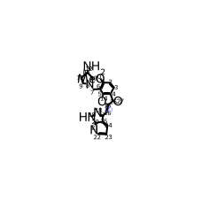 COc1ccc2c(c1CN1CC[C@@H](N)C1)O/C(=C\c1n[nH]c3ncccc13)C2=O